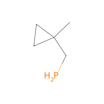 CC1(CP)CC1